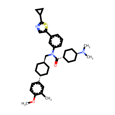 COc1ccc([C@H]2CC[C@H](CN(c3cccc(-c4cnc(C5CC5)s4)c3)C(=O)[C@H]3CC[C@H](N(C)C)CC3)CC2)cc1C